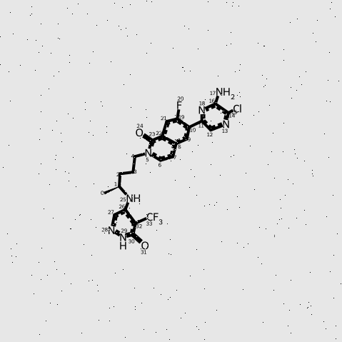 C[C@@H](CCCn1ccc2cc(-c3cnc(Cl)c(N)n3)c(F)cc2c1=O)Nc1cn[nH]c(=O)c1C(F)(F)F